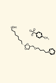 CCCCCCCCCCCCCCCCC[C@H]1OC[C@H](COCCCC[n+]2ccccc2)O1.Cc1ccc(S(=O)(=O)[O-])cc1